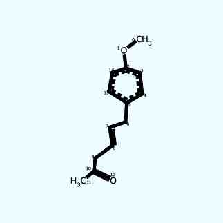 COc1ccc(CC=CCC(C)=O)cc1